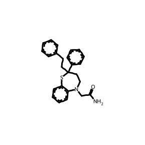 NC(=O)CN1CCC(CCc2ccccc2)(c2ccccc2)Sc2ccccc21